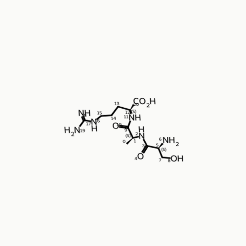 C[C@H](NC(=O)[C@@H](N)CO)C(=O)N[C@@H](CCCNC(=N)N)C(=O)O